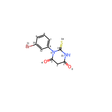 O=C1CC(=O)N(c2cccc(Br)c2)C(=S)N1